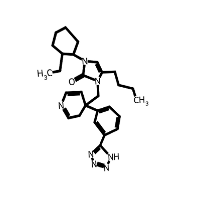 CCCCc1cn(C2CCCCC2CC)c(=O)n1CC1(c2cccc(-c3nnn[nH]3)c2)C=CN=CC1